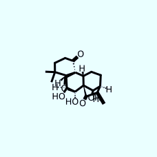 C=C1C(=O)[C@]23[C@H](O)[C@H]1CC[C@H]2[C@@]12CO[C@@]3(O)[C@@H](O)[C@@H]1C(C)(C)CCC2=O